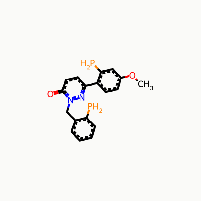 COc1ccc(-c2ccc(=O)n(Cc3ccccc3P)n2)c(P)c1